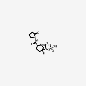 O=C(NN1CCCC1=O)[C@@H]1CC[C@@H]2CN1C(=O)N2OS(=O)(=O)O